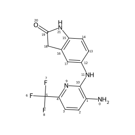 Nc1ccc(C(F)(F)F)nc1Nc1ccc2c(c1)CC(=O)N2